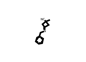 CC1(C#N)CC(=NCc2ccccc2)C1